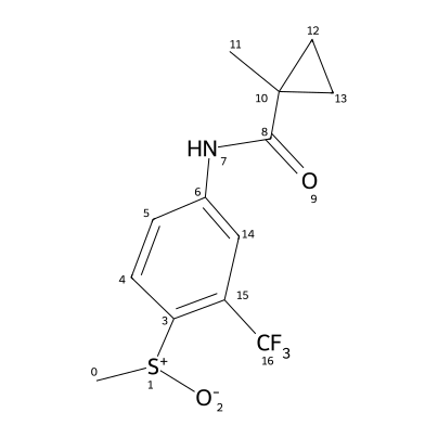 C[S+]([O-])c1ccc(NC(=O)C2(C)CC2)cc1C(F)(F)F